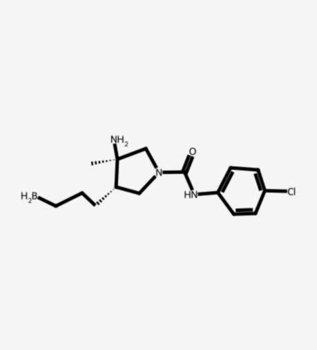 BCCC[C@H]1CN(C(=O)Nc2ccc(Cl)cc2)C[C@]1(C)N